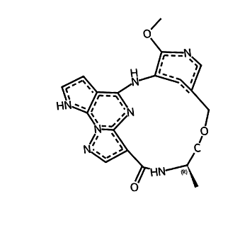 COc1ncc2cc1Nc1nc3c(cnn3c3[nH]ccc13)C(=O)N[C@H](C)COC2